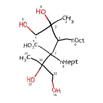 CCCCCCCCC(C(C)(O)CO)C(CCCCCCC)(C(=O)O)C(C)(O)CO